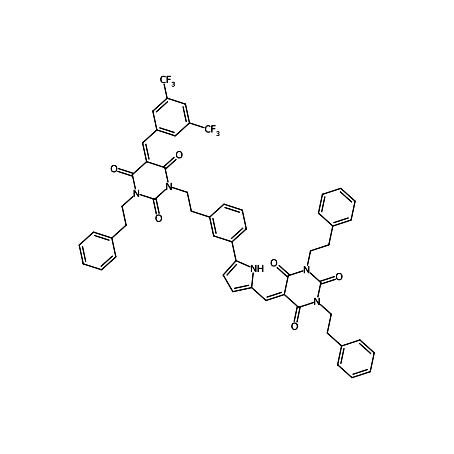 O=C1C(=Cc2ccc(-c3cccc(CCN4C(=O)/C(=C\c5cc(C(F)(F)F)cc(C(F)(F)F)c5)C(=O)N(CCc5ccccc5)C4=O)c3)[nH]2)C(=O)N(CCc2ccccc2)C(=O)N1CCc1ccccc1